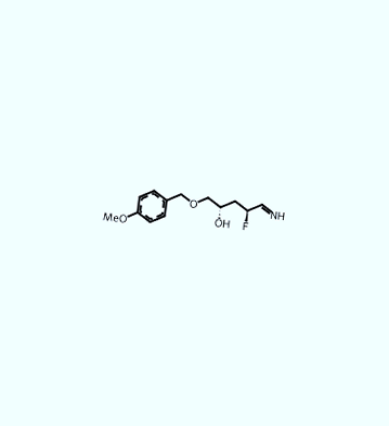 COc1ccc(COC[C@@H](O)C[C@H](F)C=N)cc1